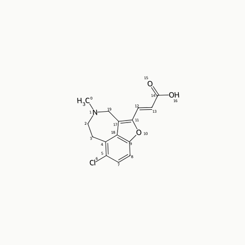 CN1CCc2c(Cl)ccc3oc(C=CC(=O)O)c(c23)C1